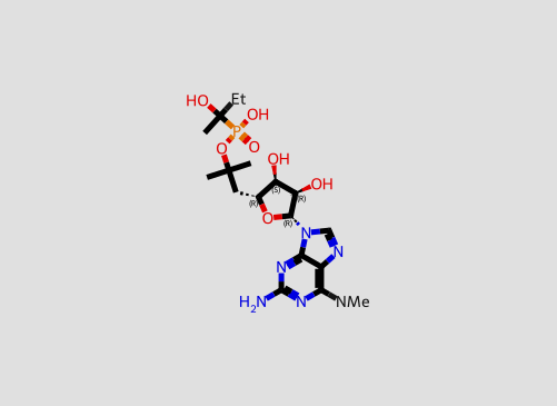 CCC(C)(O)P(=O)(O)OC(C)(C)C[C@H]1O[C@@H](n2cnc3c(NC)nc(N)nc32)[C@H](O)[C@@H]1O